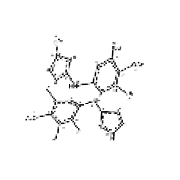 CC(=O)Oc1c(C)cc(Nc2cc[nH]n2)c(C)c1C.CCCn1ccc(Nc2cc(C(C)(C)C)c(OC(C)=O)c(C(C)(C)C)c2)n1